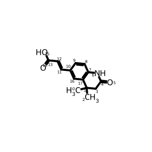 CC1(C)CC(=O)Nc2ccc(C=CC(=O)O)cc21